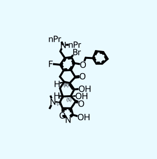 CCCN(CCC)Cc1c(F)c2c(c(OCc3ccccc3)c1Br)C(=O)C1=C(O)[C@]3(O)C(=O)c4c(O)noc4[C@@H](N(C)C)[C@@H]3C[C@@H]1C2